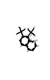 CC(C)(C)c1ccc2cccnc2c1C(C)(C)C